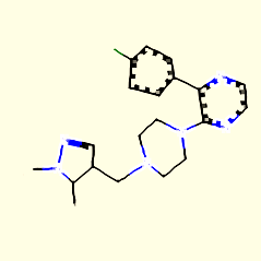 CC1C(CN2CCN(c3nccnc3-c3ccc(F)cc3)CC2)C=NN1C